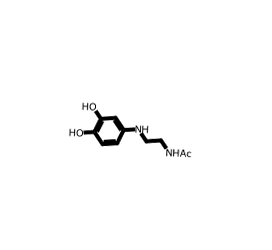 CC(=O)NCCNc1ccc(O)c(O)c1